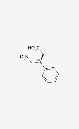 O=C(O)C[C@H](C[N+](=O)[O-])c1ccccc1